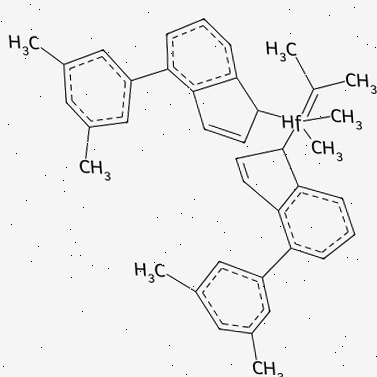 C[C](C)=[Hf]([CH3])([CH3])([CH]1C=Cc2c(-c3cc(C)cc(C)c3)cccc21)[CH]1C=Cc2c(-c3cc(C)cc(C)c3)cccc21